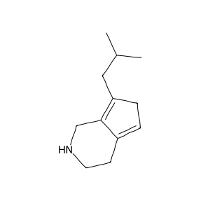 CC(C)CC1=C2CNCCC2=CC1